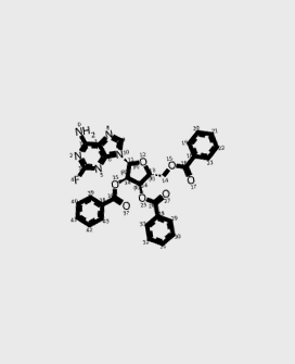 Nc1nc(F)nc2c1ncn2[C@@H]1O[C@H](COC(=O)c2ccccc2)[C@@H](OC(=O)c2ccccc2)[C@H]1OC(=O)c1ccccc1